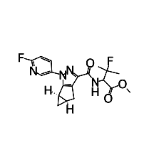 COC(=O)C(NC(=O)c1nn(-c2ccc(F)nc2)c2c1C[C@H]1C[C@@H]21)C(C)(C)F